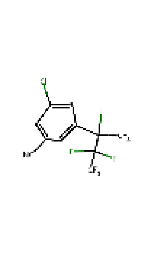 N#Cc1[c]c(Cl)cc(C(F)(C(F)(F)F)C(F)(F)C(F)(F)F)c1